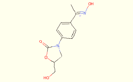 C/C(=N\O)c1ccc(N2CC(CO)OC2=O)cc1